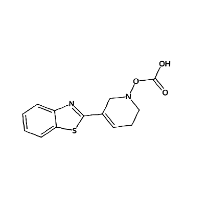 O=C(O)ON1CCC=C(c2nc3ccccc3s2)C1